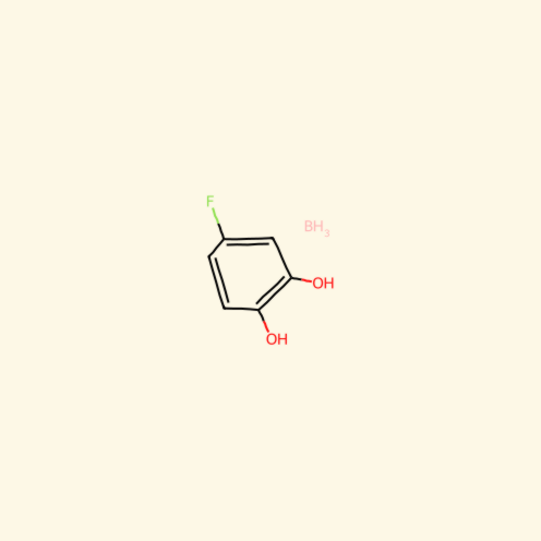 B.Oc1ccc(F)cc1O